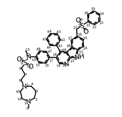 CN1CCCN(CCCS(=O)(=O)N(C)c2ccc(-c3cnc4[nH]c5ccc(CS(=O)(=O)c6ccccc6)cc5c4c3-c3ccccc3)cc2)CC1